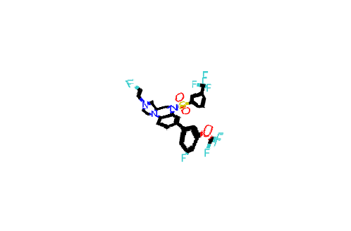 O=S(=O)(c1cccc(C(F)(F)F)c1)N1CC2CN(CCF)CCN2c2ccc(-c3cc(F)cc(OC(F)F)c3)cc21